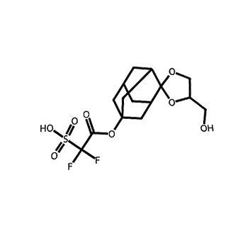 O=C(OC12CC3CC(C1)C1(OCC(CO)O1)C(C3)C2)C(F)(F)S(=O)(=O)O